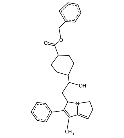 CC1=C(c2ccccc2)C(CC(O)C2CCC(C(=O)OCc3ccccc3)CC2)N2CCC=C12